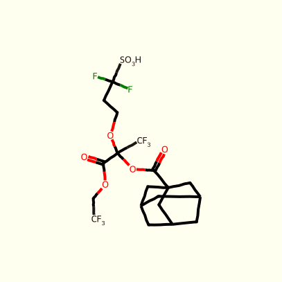 O=C(OC(OCCC(F)(F)S(=O)(=O)O)(C(=O)OCC(F)(F)F)C(F)(F)F)C12CC3CC(CC(C3)C1)C2